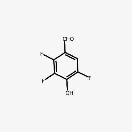 O=Cc1cc(F)c(O)c(F)c1F